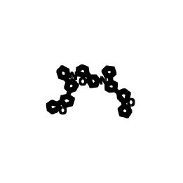 c1ccc2c(c1)oc1ccc(-c3ccc4c(c3)c3ccccc3n4-c3ccc4oc5c(-n6c7ccccc7c7cc(-c8ccc9oc%10ccccc%10c9c8)ccc76)cccc5c4c3)cc12